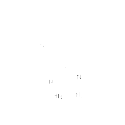 C1=C[Se]C(c2nn[nH]n2)C1